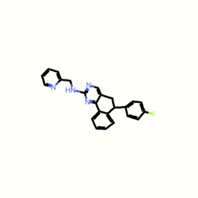 Fc1ccc(C2Cc3cnc(NCc4ccccn4)nc3-c3ccccc32)cc1